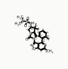 Cc1cc2onc(-n3cc4n(c3=O)C[C@@H](NS(=O)(=O)N(C)C)C4(F)F)c2c(-c2c(F)cccc2F)n1